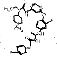 CCN(C(=O)Nc1cc(Oc2ccc(NC(=S)NC(=O)Cc3ccc(F)cc3)cc2F)ncn1)C1CCN(C)CC1